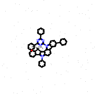 CC1(C)c2ccccc2-c2c1c1c(ccc3c4cc(-c5ccccc5)ccc4n(-c4nc(-c5ccccc5)nc(-c5ccccc5)n4)c31)n2-c1ccccc1